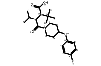 CC(C)[C@H](C(=O)N1CCC(Oc2ccc(F)cc2)CC1)N(C(=O)O)C(C)(C)C